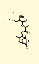 CC(OC(=O)[C@@H](CC(C)(C)C)C(C)(C)C)C(=O)OC1C(C)CC2CC1(C)OC2=O